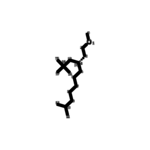 COCC[C@H](CCCCCC(C)C)CC(C)(C)C